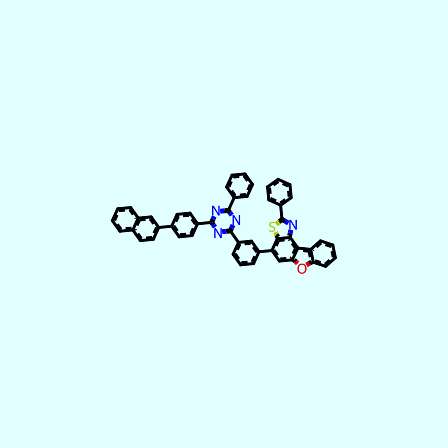 c1ccc(-c2nc(-c3ccc(-c4ccc5ccccc5c4)cc3)nc(-c3cccc(-c4cc5oc6ccccc6c5c5nc(-c6ccccc6)sc45)c3)n2)cc1